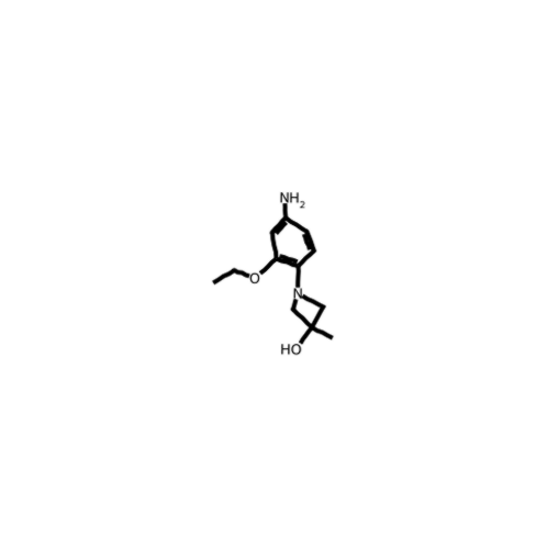 CCOc1cc(N)ccc1N1CC(C)(O)C1